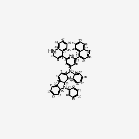 C1=C(c2cc(N3C4=CC=C5c6ccccc6N(c6ccccc6)C5C4c4ccccc43)cc(-c3ccnc4ccccc34)n2)c2ccccc2NC1